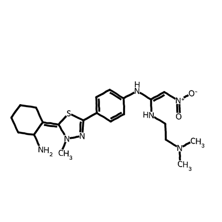 CN(C)CCNC(=C[N+](=O)[O-])Nc1ccc(C2=NN(C)C(=C3CCCCC3N)S2)cc1